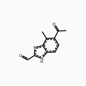 CC(=O)c1ccc2[nH]c(C=O)nc2c1C